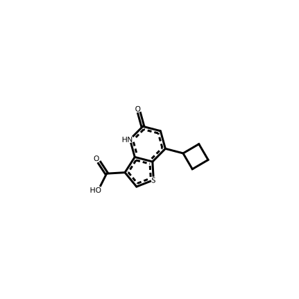 O=C(O)c1csc2c(C3CCC3)cc(=O)[nH]c12